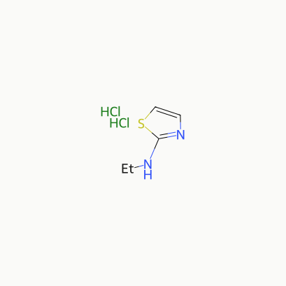 CCNc1nccs1.Cl.Cl